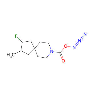 CC1CC2(CCN(C(=O)ON=[N+]=[N-])CC2)CC1F